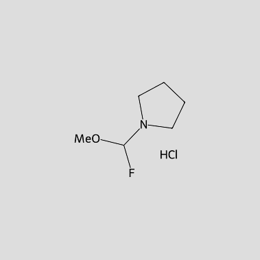 COC(F)N1CCCC1.Cl